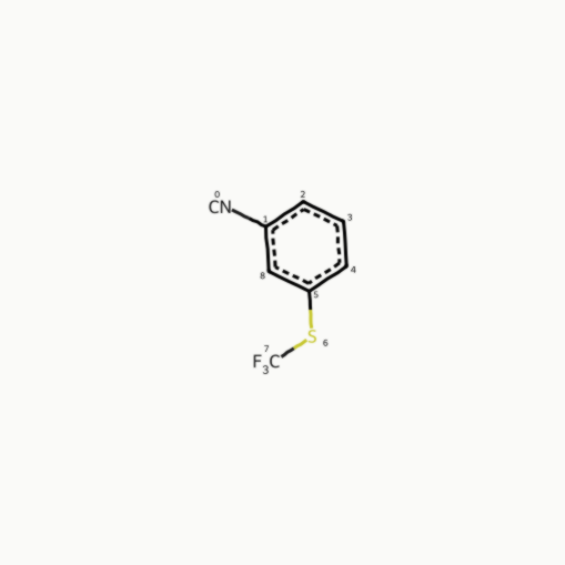 [C-]#[N+]c1cccc(SC(F)(F)F)c1